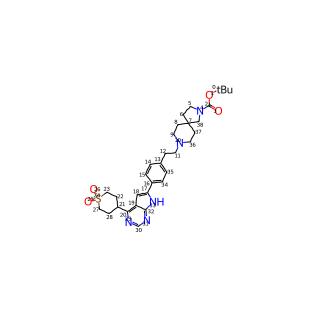 CC(C)(C)OC(=O)N1CCC2(CCN(CCc3ccc(-c4cc5c(C6CCS(=O)(=O)CC6)ncnc5[nH]4)cc3)CC2)C1